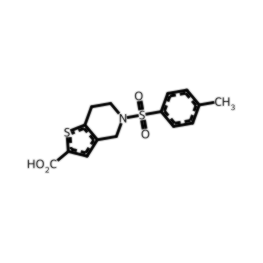 Cc1ccc(S(=O)(=O)N2CCc3sc(C(=O)O)cc3C2)cc1